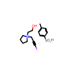 Cc1ccc(S(=O)(=O)O)cc1.OCC[N+]1(CC#CI)CCCC1